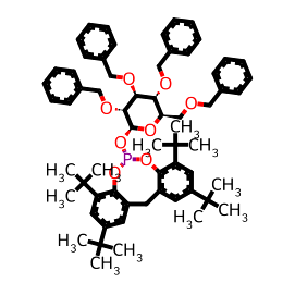 CC(C)(C)c1cc2c(c(C(C)(C)C)c1)OP(O[C@@H]1O[C@H](COCc3ccccc3)[C@@H](OCc3ccccc3)[C@H](OCc3ccccc3)[C@H]1OCc1ccccc1)Oc1c(cc(C(C)(C)C)cc1C(C)(C)C)C2